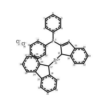 C1=C(P(c2ccccc2)c2ccccc2)[CH]([Zr+2][CH]2c3ccccc3-c3ccccc32)c2ccccc21.[Cl-].[Cl-]